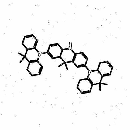 CC1(C)C2=CC=CCC2N(c2ccc3c(c2)C(C)(C)C2C=C(N4C5=CC=CCC5C(C)(C)C5=C4C=CCC5)C=CC2N3)C2=C1C=CCC2